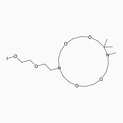 CN1CCOCCOCCN(CCOCCOI)CCOCCOCC1(C)C